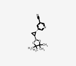 CC1(C)OB([C@H]2C[C@@H]2c2cncc(C#N)c2)OC1(C)C